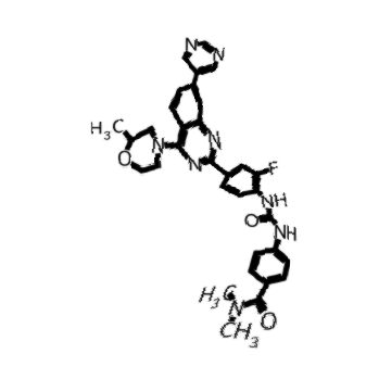 CC1CN(c2nc(-c3ccc(NC(=O)Nc4ccc(C(=O)N(C)C)cc4)c(F)c3)nc3cc(-c4cncnc4)ccc23)CCO1